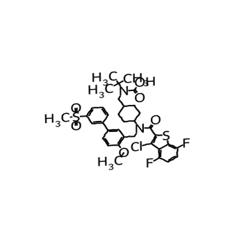 COc1ccc(-c2cccc(S(C)(=O)=O)c2)cc1CN(C(=O)c1sc2c(F)ccc(F)c2c1Cl)C1CCC(CN(C(=O)O)C(C)(C)C)CC1